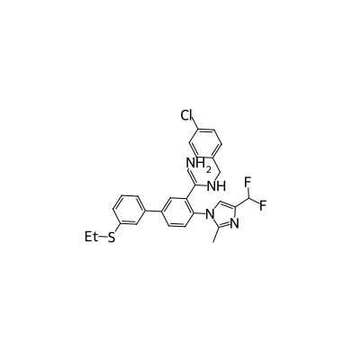 CCSc1cccc(-c2ccc(-n3cc(C(F)F)nc3C)c(/C(=C/N)NCc3ccc(Cl)cc3)c2)c1